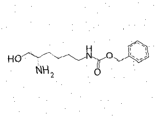 N[C@H](CO)CCCCNC(=O)OCc1ccccc1